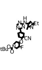 CCn1cc(Nc2ncnc(-c3ccc(O[C@H]4CCN(C(=O)OC(C)(C)C)C[C@@H]4F)c(C#N)c3)n2)c(C)n1